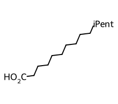 CCCC(C)CCCCCCCCCC(=O)O